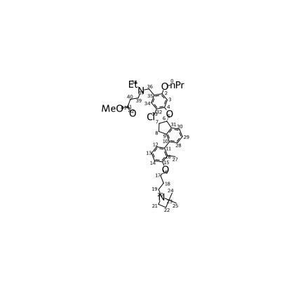 CCCOc1cc(O[C@H]2CCc3c(-c4cccc(OCCCN5CCC5(C)C)c4C)cccc32)c(Cl)cc1CN(CC)CCC(=O)OC